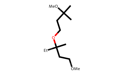 CCC(C)(CCOC)OCCC(C)(C)OC